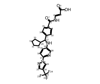 O=C(O)/C=C/NC(=O)c1ccc(C(Nc2ccc(-n3cc(C(F)(F)F)cn3)nc2)C2CCCC2)cc1